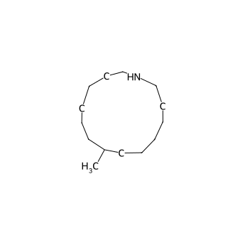 CC1CCCCCCNCCCCCC1